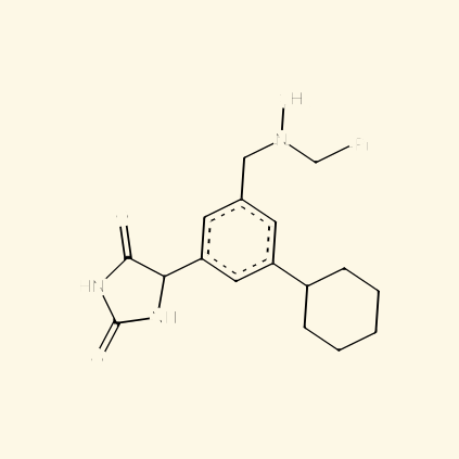 CC(C)CN(C)Cc1cc(C2CCCCC2)cc(C2NC(=O)NC2=O)c1